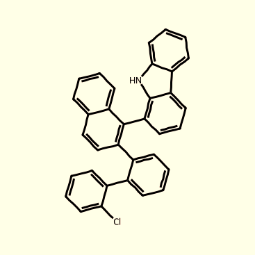 Clc1ccccc1-c1ccccc1-c1ccc2ccccc2c1-c1cccc2c1[nH]c1ccccc12